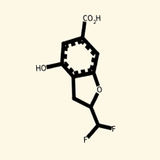 O=C(O)c1cc(O)c2c(c1)OC(C(F)F)C2